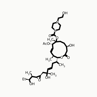 CC[C@H](O)[C@@H](C)[C@H]1O[C@@H]1C[C@@](C)(O)/C=C/CC(C)[C@H]1OC(=O)C[C@H](O)CC[C@@](C)(OC(=O)N2CCN(CCO)CC2)[C@@H](OC(C)=O)/C=C/[C@@H]1C